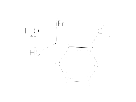 CC(C)CO.Cc1ccccc1.O